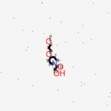 COCCCOC1CCN(C(=O)CO)CC1